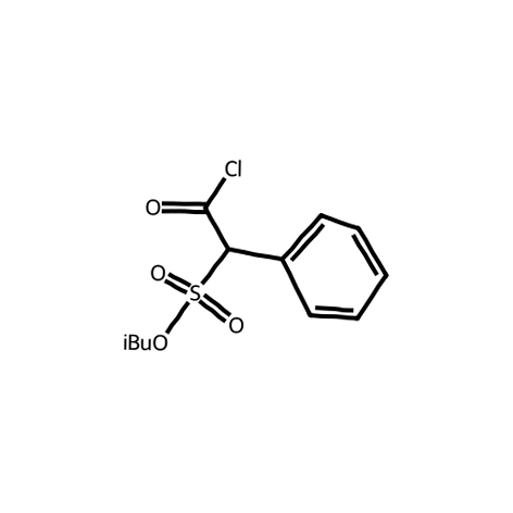 CC(C)COS(=O)(=O)C(C(=O)Cl)c1ccccc1